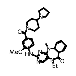 CCN1C(=O)C2C=CC=CC2N(C)c2nc(Nc3ccc(C(=O)N4CCC(N5CCCC5)CC4)cc3OC)ncc21